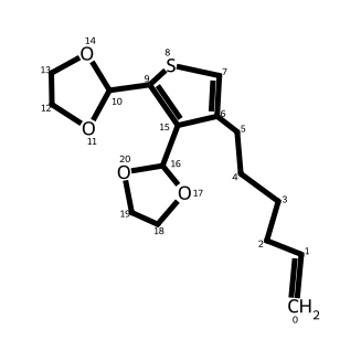 C=CCCCCc1csc(C2OCCO2)c1C1OCCO1